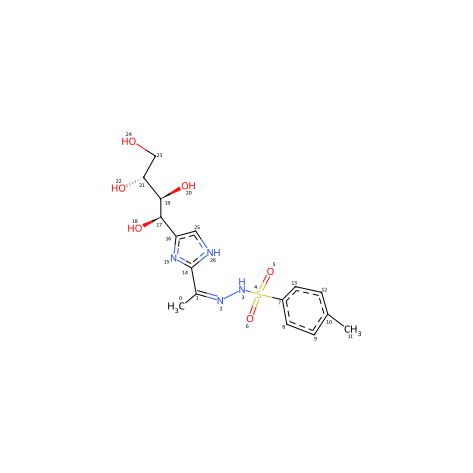 CC(=NNS(=O)(=O)c1ccc(C)cc1)c1nc([C@@H](O)[C@H](O)[C@H](O)CO)c[nH]1